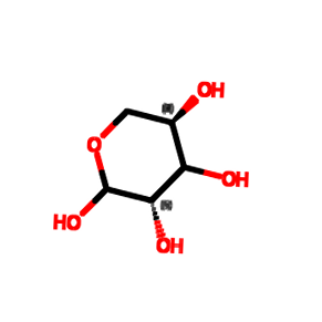 OC1OC[C@@H](O)C(O)[C@@H]1O